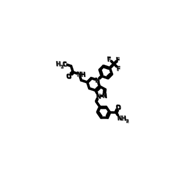 CCC(=O)NCC1Cc2c(cnn2Cc2cccc(C(N)=O)c2)N(c2ccc(C(F)(F)F)cc2)C1